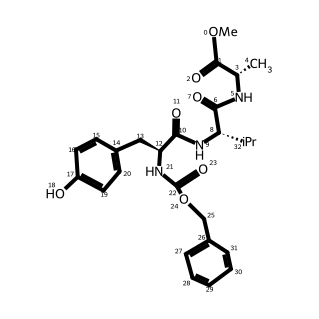 COC(=O)[C@H](C)NC(=O)[C@@H](NC(=O)[C@H](Cc1ccc(O)cc1)NC(=O)OCc1ccccc1)C(C)C